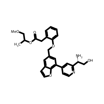 COCC(C)OC(=O)Cc1ccccc1OCc1cc(-c2ccnc([C@H](N)CO)c2)c2occc2c1